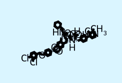 Cc1nccc(-c2ccc(C[C@H](NC(=O)[C@@H]3Cc4cc5c(cc4CN3C(=O)NCC3CCCCC3)O[C@@H](c3ccc(OCc4ccc(Cl)c(Cl)c4)cc3)CO5)C(=O)O)cc2)c1C